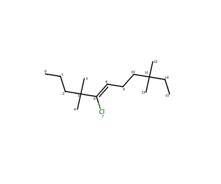 CCCC(C)(C)/C(Cl)=C/CCC(C)(C)CC